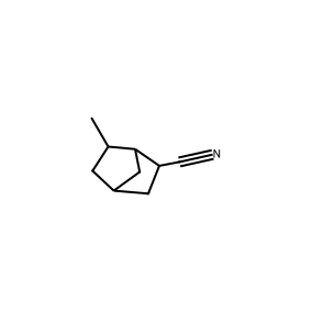 CC1CC2CC(C#N)C1C2